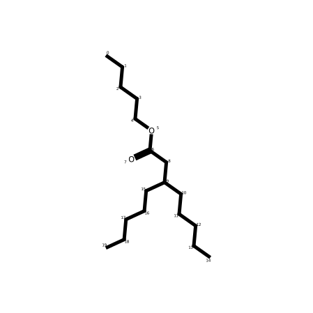 CCCCCOC(=O)CC(CCCCC)CCCCC